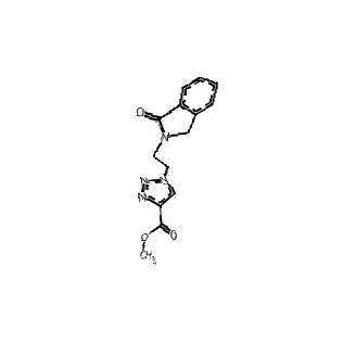 COC(=O)c1cn(CCN2Cc3ccccc3C2=O)nn1